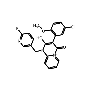 COc1ccc(Cl)cc1-c1c(O)n(Cc2ccc(F)nc2)c2cccc[n+]2c1=O